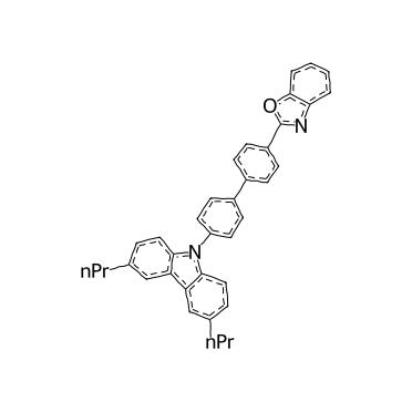 CCCc1ccc2c(c1)c1cc(CCC)ccc1n2-c1ccc(-c2ccc(-c3nc4ccccc4o3)cc2)cc1